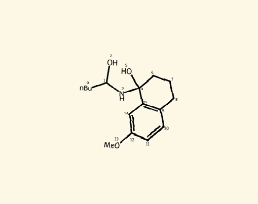 CCCCC(O)NC1(O)CCCc2ccc(OC)cc21